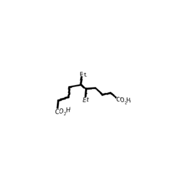 CCC(CCCC(=O)O)C(CC)CCCC(=O)O